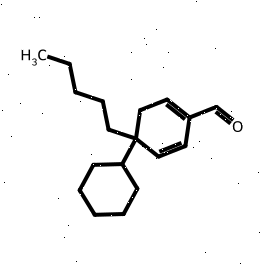 CCCCCC1(C2CCCCC2)C=CC(C=O)=CC1